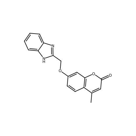 Cc1cc(=O)oc2cc(OCc3nc4ccccc4[nH]3)ccc12